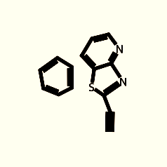 C#Cc1nc2ncccc2s1.c1ccccc1